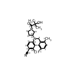 Cc1ccc(F)cc1CN(c1ccc(C#N)c(Cl)c1)[C@H]1CCN(C(=O)C(C)(C)O)C1